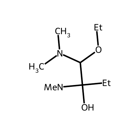 CCOC(N(C)C)C(O)(CC)NC